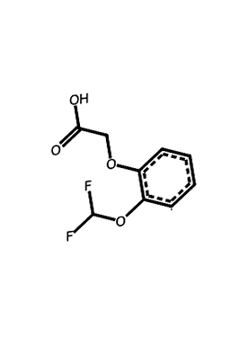 O=C(O)COc1ccc[c]c1OC(F)F